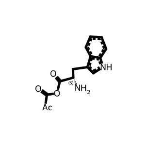 CC(=O)C(=O)OC(=O)[C@@H](N)Cc1c[nH]c2ccccc12